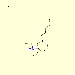 CCCCCC1CCCC(CC)(NCC)C1